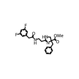 COC(=O)C1(Cc2ccccc2)CNC(CCNC(=O)Cc2cc(F)cc(F)c2)=N1